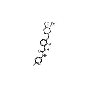 CCOC(=O)N1CCN(Cc2cccc(NC(=O)Nc3ccc(C)nc3)c2F)CC1